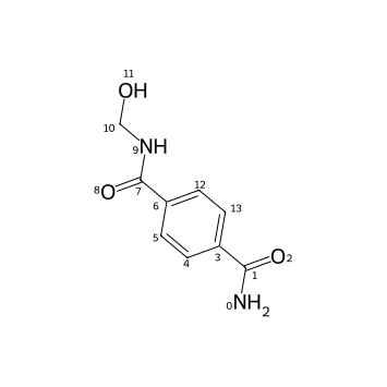 NC(=O)c1ccc(C(=O)NCO)cc1